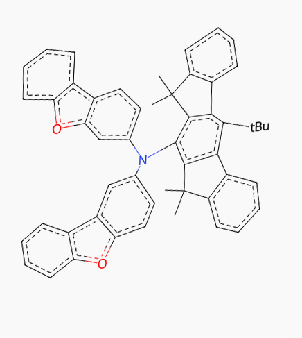 CC(C)(C)c1c2c(c(N(c3ccc4c(c3)oc3ccccc34)c3ccc4oc5ccccc5c4c3)c3c1-c1ccccc1C3(C)C)C(C)(C)c1ccccc1-2